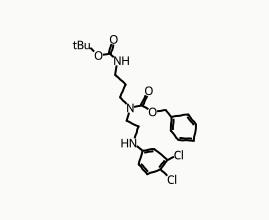 CC(C)(C)OC(=O)NCCCN(CCNc1ccc(Cl)c(Cl)c1)C(=O)OCc1ccccc1